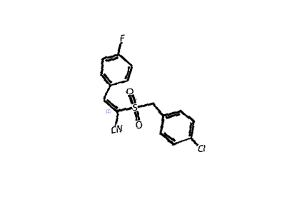 N#C/C(=C/c1ccc(F)cc1)S(=O)(=O)Cc1ccc(Cl)cc1